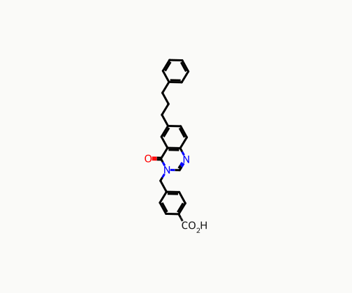 O=C(O)c1ccc(Cn2cnc3ccc(CCCc4ccccc4)cc3c2=O)cc1